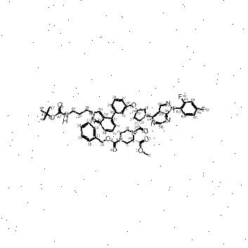 COC(=O)[C@@H]1CN(C(=O)OCc2ccccc2)CCN1C(=O)[C@@H]1C[C@H](Oc2cccc(-c3cccc4nn(CCCNC(=O)OC(C)(C)C)cc34)c2)CN1c1ncnc2c1cnn2-c1ccc(F)cc1F